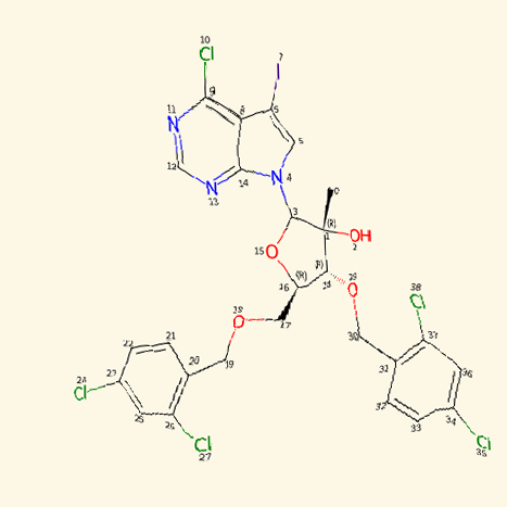 C[C@]1(O)C(n2cc(I)c3c(Cl)ncnc32)O[C@H](COCc2ccc(Cl)cc2Cl)[C@H]1OCc1ccc(Cl)cc1Cl